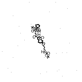 CC(C)(C)OC(=O)NCCCCOc1ccc2cc(C(=O)NCC(NS(=O)(=O)c3ccccc3)C(=O)OC(C)(C)C)cc(=O)n2c1